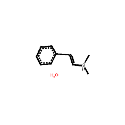 C[SiH](C)C=Cc1ccccc1.O